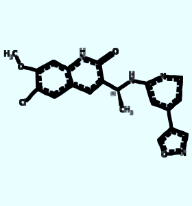 COc1cc2[nH]c(=O)c([C@H](C)Nc3cc(-c4cnoc4)ccn3)cc2cc1Cl